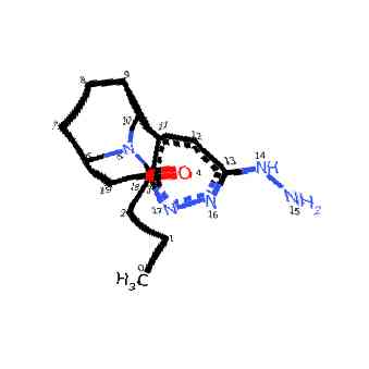 CCCC(=O)N1C2CCCC1c1cc(NN)nnc1C2